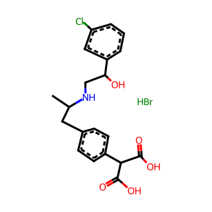 Br.CC(Cc1ccc(C(C(=O)O)C(=O)O)cc1)NCC(O)c1cccc(Cl)c1